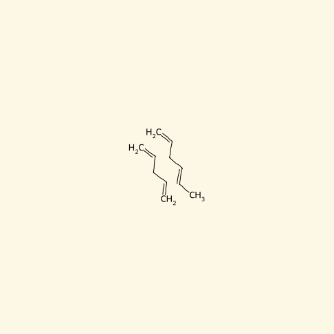 C=CCC=C.C=CCC=CC